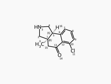 C[C@]12CNC[C@H]1c1cccc(Cl)c1C(=O)C2